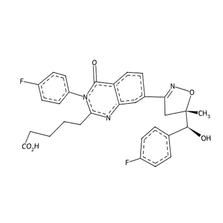 C[C@@]1([C@@H](O)c2ccc(F)cc2)CC(c2ccc3c(=O)n(-c4ccc(F)cc4)c(CCCCC(=O)O)nc3c2)=NO1